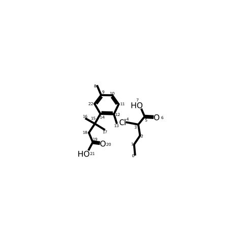 CCCC(Cl)C(=O)O.Cc1ccc(C)c(C(C)(C)CC(=O)O)c1